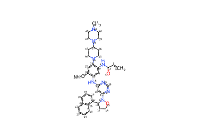 C=CC(=O)Nc1cc(Nc2cc(N3OCCC3c3cccc4ccccc34)ncn2)c(OC)cc1N1CCC(N2CCN(C)CC2)CC1